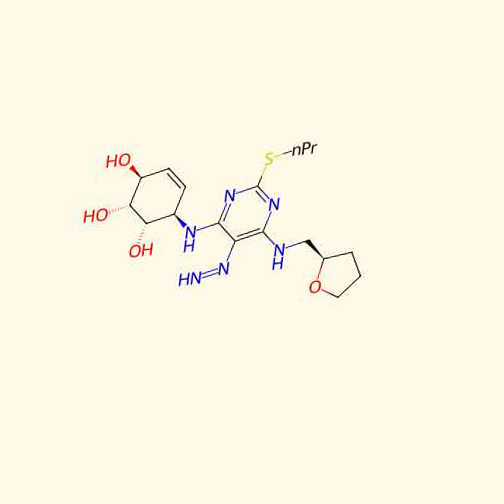 CCCSc1nc(NC[C@H]2CCCO2)c(N=N)c(N[C@@H]2C=C[C@H](O)[C@@H](O)[C@H]2O)n1